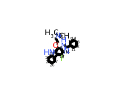 CN(C)CCOc1c2[nH]c(-c3ccccc3)nc2c(F)c2c1[nH]c1ccccc12